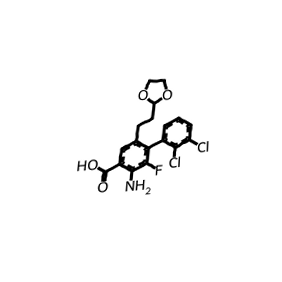 Nc1c(C(=O)O)cc(CCC2OCCO2)c(-c2cccc(Cl)c2Cl)c1F